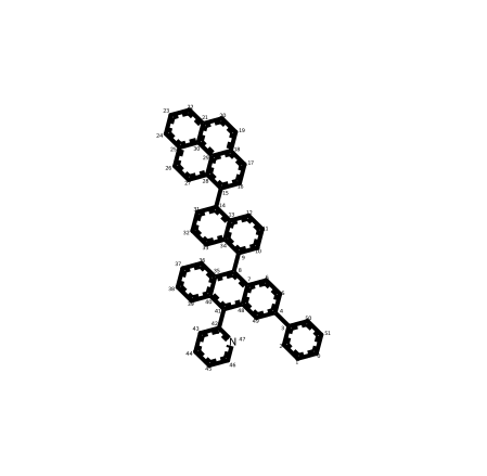 c1ccc(-c2ccc3c(-c4cccc5c(-c6ccc7ccc8cccc9ccc6c7c89)cccc45)c4ccccc4c(-c4ccccn4)c3c2)cc1